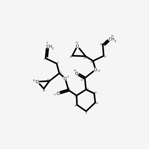 C=CCC(OC(=O)C1CCCCC1C(=O)OC(CC=C)C1CO1)C1CO1